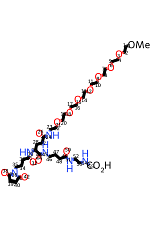 COCCOCCOCCOCCOCCOCCOCCOCCNC(=O)CCC(NC(=O)CCCN1C(=O)C=CC1=O)C(=O)NCCCC(=O)NCCNC(=O)O